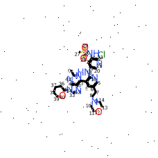 Cc1nc(-c2cc(CCN3CCOCC3)cnc2Nc2cnc(Cl)c(NS(C)(=O)=O)c2)c2ncn(C3CCCCO3)c2n1